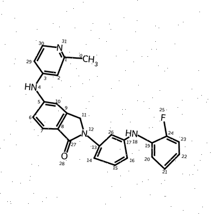 Cc1cc(Nc2ccc3c(c2)CN(c2cccc(Nc4ccccc4F)c2)C3=O)ccn1